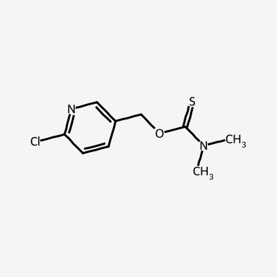 CN(C)C(=S)OCc1ccc(Cl)nc1